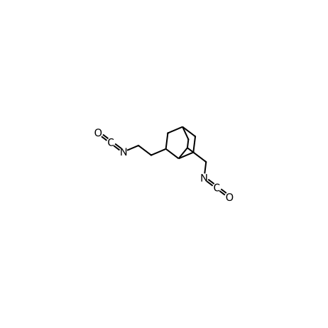 O=C=NCCC1CC2CCC1C(CN=C=O)C2